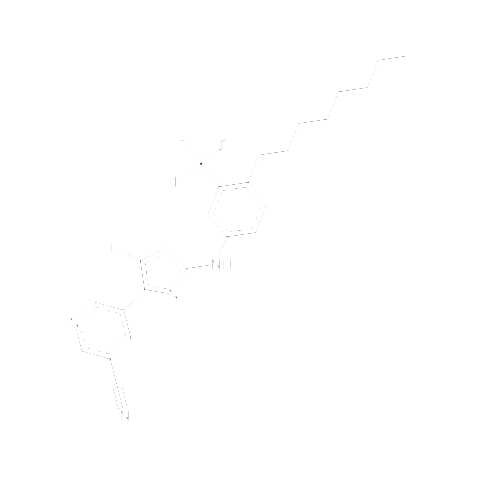 CCCCCCCCc1ccc(Nc2nc(-c3cncc(C#N)c3)c(F)s2)cc1C(F)(F)F